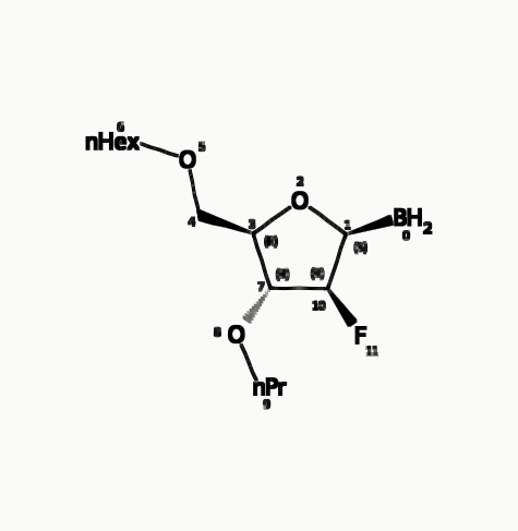 B[C@@H]1O[C@H](COCCCCCC)[C@@H](OCCC)[C@@H]1F